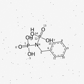 O=P(O)(O)N(Cc1ccccc1)P(=O)(O)O